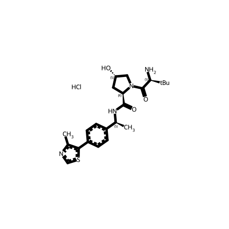 Cc1ncsc1-c1ccc([C@H](C)NC(=O)[C@H]2C[C@H](O)CN2C(=O)[C@@H](N)C(C)(C)C)cc1.Cl